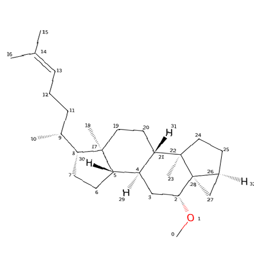 CO[C@@H]1C[C@H]2[C@@H]3CC[C@H]([C@H](C)CCC=C(C)C)[C@@]3(C)CC[C@@H]2[C@@]2(C)CC[C@H]3C[C@]312